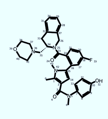 Cc1c(C(=O)N(C)c2ccc(O)cc2)cc(-c2cc(F)ccc2C(=O)N2Cc3ccccc3C[C@H]2CN2CCOCC2)n1C